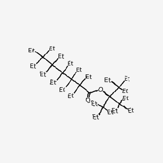 CCC(CC)(CC)C(CC)(CC)C(CC)(CC)C(CC)(CC)C(CC)(CC)C(=O)OC(C(CC)(CC)CC)(C(CC)(CC)CC)C(CC)(CC)CC